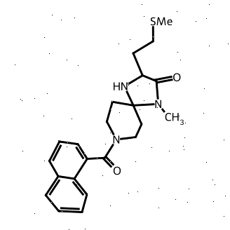 CSCCC1NC2(CCN(C(=O)c3cccc4ccccc34)CC2)N(C)C1=O